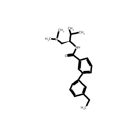 CCc1cccc(-c2cccc(C(=O)N[C@@H](CN(C)C)C(C)C)c2)c1